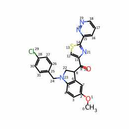 COc1ccc2c(c1)C(C(=O)c1csc(-c3cccnn3)n1)CN2Cc1ccc(Cl)cc1